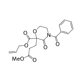 C=CCOC(=O)C1(CCC(=O)OC)OCCN(C(=O)c2ccccc2)C1=O